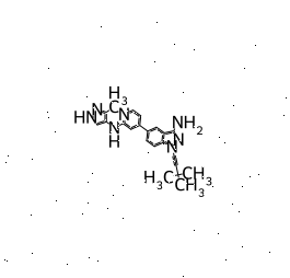 Cc1n[nH]cc1Nc1cc(-c2ccc3c(c2)c(N)nn3C#CC(C)(C)C)ccn1